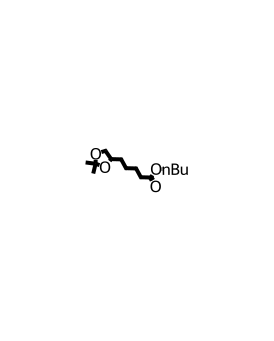 CCCCOC(=O)CCCCC1COC(C)(C)O1